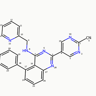 N#Cc1ncc(-c2nc(NCc3ccccn3)c3c(-c4ccccc4)cccc3n2)cn1